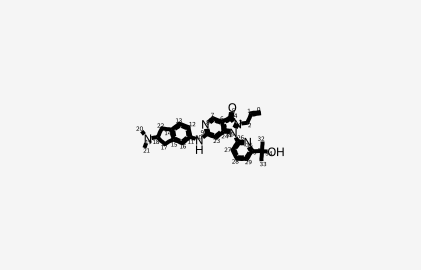 C=CCn1c(=O)c2cnc(Nc3ccc4c(c3)CC(N(C)C)C4)cc2n1-c1cccc(C(C)(C)O)n1